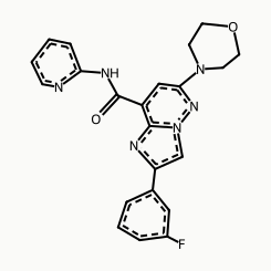 O=C(Nc1ccccn1)c1cc(N2CCOCC2)nn2cc(-c3cccc(F)c3)nc12